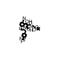 CC(C)(C)OC(=O)CNC(=O)c1c(O)c2c(C#N)ccc3c2n(c1=O)C(Cc1ccc(C(F)(F)F)cc1)CO3